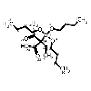 CCCC[O][Zr]([O]CCCC)([O]CCCC)[C](CC)(C(C)=O)C(=O)O